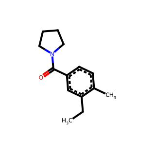 CCc1cc(C(=O)N2CCCC2)ccc1C